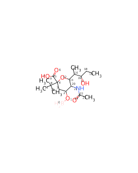 BOC1CC(C(=O)O)(C(C)(C)C)OC(C(C)C(O)CC)C1NC(C)=O